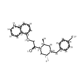 C[C@@H]1CN(C(=O)COc2cccc3ncccc23)[C@@H](C)CN1Cc1ccc(F)cc1